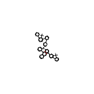 CC1(C)c2ccccc2-c2ccc(-c3ccc(N(c4ccc(-c5ccccc5-c5cccc6c5C(C)(C)c5ccccc5-6)cc4)c4ccccc4-c4cccc5ccccc45)cc3)cc21